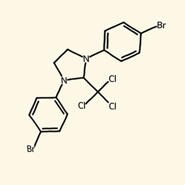 ClC(Cl)(Cl)C1N(c2ccc(Br)cc2)CCN1c1ccc(Br)cc1